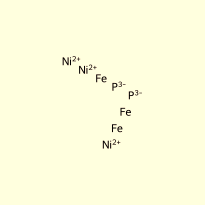 [Fe].[Fe].[Fe].[Ni+2].[Ni+2].[Ni+2].[P-3].[P-3]